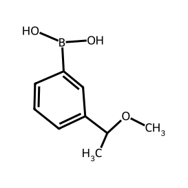 COC(C)c1cccc(B(O)O)c1